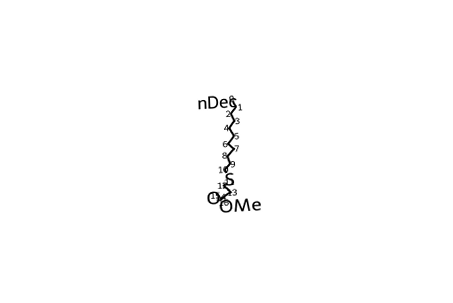 CCCCCCCCCCCCCCCCCCCCSCCC(=O)OC